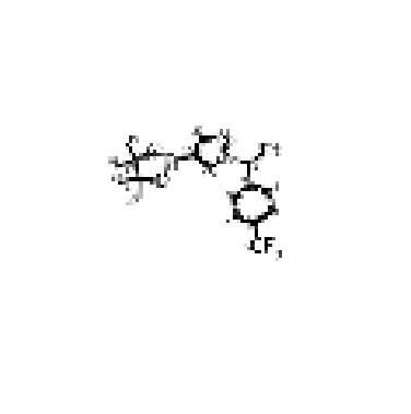 CCC(c1ccc(C(F)(F)F)cc1)n1cc(B2OC(C)(C)C(C)(C)O2)cn1